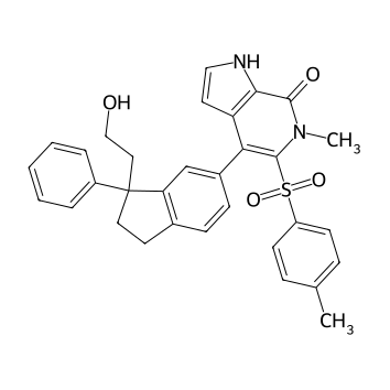 Cc1ccc(S(=O)(=O)c2c(-c3ccc4c(c3)C(CCO)(c3ccccc3)CC4)c3cc[nH]c3c(=O)n2C)cc1